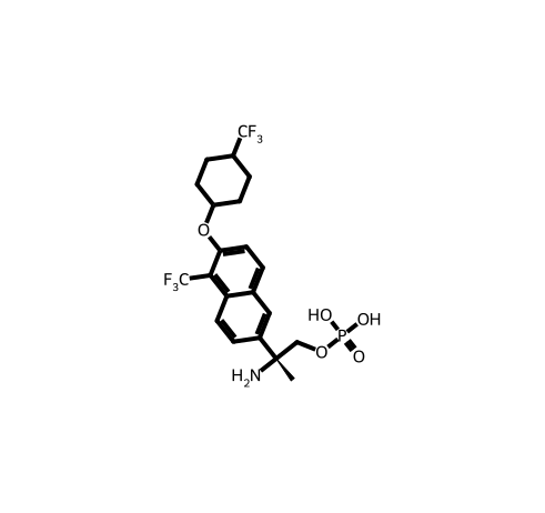 C[C@](N)(COP(=O)(O)O)c1ccc2c(C(F)(F)F)c(OC3CCC(C(F)(F)F)CC3)ccc2c1